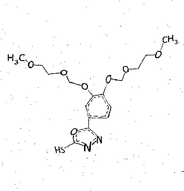 COCCOCOc1ccc(-c2nnc(S)o2)cc1OCOCCOC